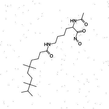 CC(=O)NC(CCCCNC(=O)CCCC(C)(C)CCC(C)(C)C(C)C)C(=O)N=O